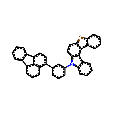 c1cc(-c2ccc3c4c(cccc24)-c2ccccc2-3)cc(-n2c3ccccc3c3c4c(ccc32)sc2ccccc24)c1